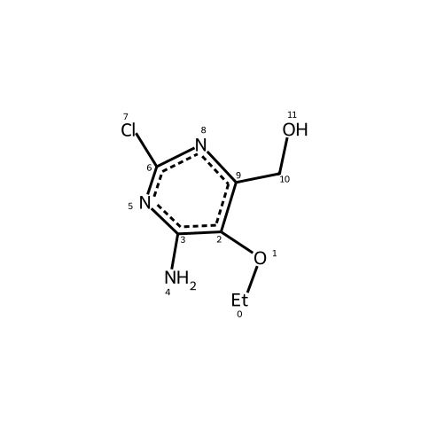 CCOc1c(N)nc(Cl)nc1CO